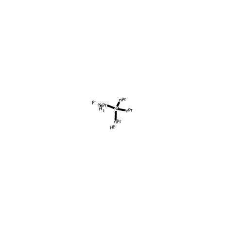 CCC[N+](CCC)(CCC)CCC.F.N.[F-]